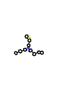 c1ccc(-c2ccc(-c3ccc(N(c4ccc(-c5cccc(-c6ccc7ccccc7c6)c5)cc4)c4ccc(-c5ccc6sc7ccccc7c6c5)cc4)cc3)cc2)cc1